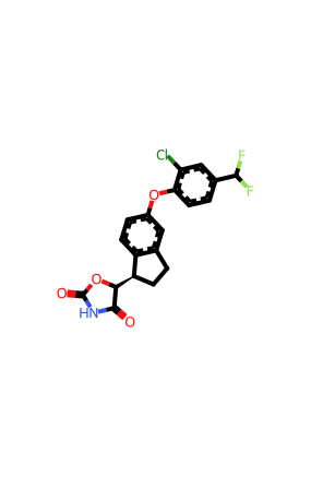 O=C1NC(=O)C([C@@H]2CCc3cc(Oc4ccc(C(F)F)cc4Cl)ccc32)O1